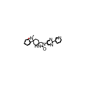 CN(C)C1(c2ccccc2)CCC2(CC1)CN(c1cnc(-c3cccnc3)nc1)C(=O)N2